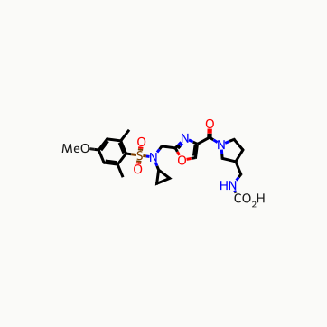 COc1cc(C)c(S(=O)(=O)N(Cc2nc(C(=O)N3CCC(CNC(=O)O)C3)co2)C2CC2)c(C)c1